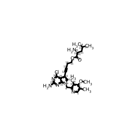 COc1c(C)cnc(Cn2cc(C#CCCOC(=O)[C@H](N)CC(C)C)c3c(Cl)nc(N)nc32)c1C